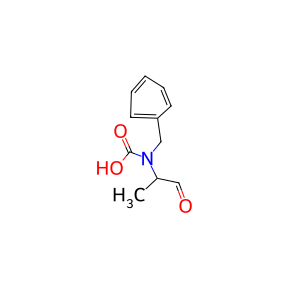 CC(C=O)N(Cc1ccccc1)C(=O)O